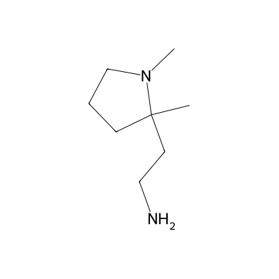 CN1CCCC1(C)CCN